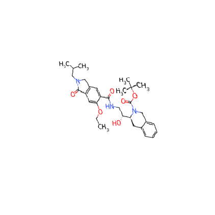 CCOc1cc2c(cc1C(=O)NC[C@@H](O)[C@@H]1Cc3ccccc3CN1C(=O)OC(C)(C)C)CN(CC(C)C)C2=O